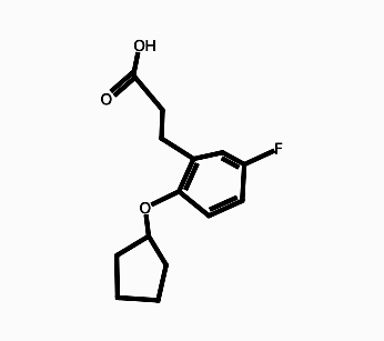 O=C(O)CCc1cc(F)ccc1OC1CCCC1